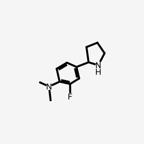 CN(C)c1ccc(C2CCCN2)cc1F